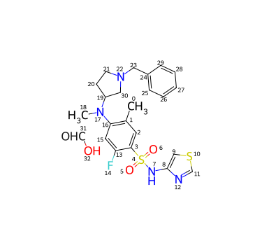 Cc1cc(S(=O)(=O)Nc2cscn2)c(F)cc1N(C)C1CCN(Cc2ccccc2)C1.O=CO